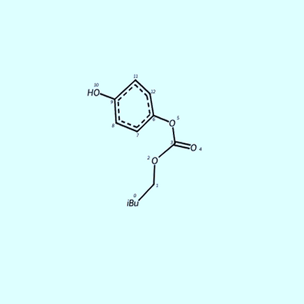 CCC(C)COC(=O)Oc1ccc(O)cc1